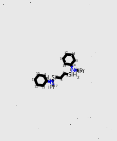 CC(C)N([SiH2]CC[SiH2]N(C(C)C)C1CCCCC1)C1CCCCC1